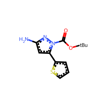 CC(C)(C)OC(=O)n1nc(N)cc1-c1cccs1